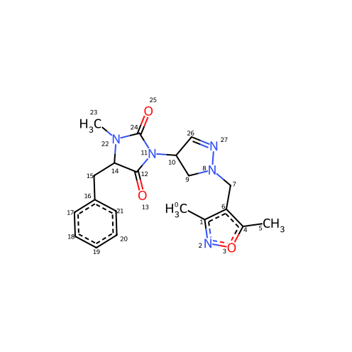 Cc1noc(C)c1CN1CC(N2C(=O)C(Cc3ccccc3)N(C)C2=O)C=N1